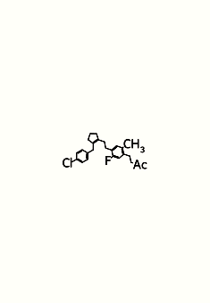 CC(=O)CCc1cc(F)c(CCC2=C(Cc3ccc(Cl)cc3)CCC2)cc1C